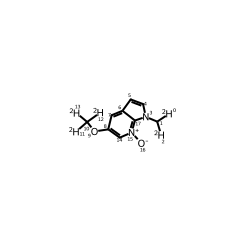 [2H]C([2H])n1ccc2cc(OC([2H])([2H])[2H])c[n+]([O-])c21